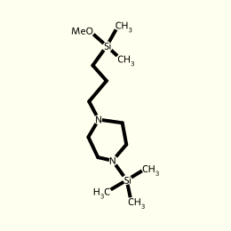 CO[Si](C)(C)CCCN1CCN([Si](C)(C)C)CC1